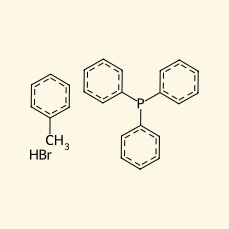 Br.Cc1ccccc1.c1ccc(P(c2ccccc2)c2ccccc2)cc1